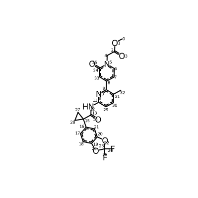 COC(=O)Cn1ccc(-c2nc(NC(=O)C3(c4ccc5c(c4)OC(F)(F)O5)CC3)ccc2C)cc1=O